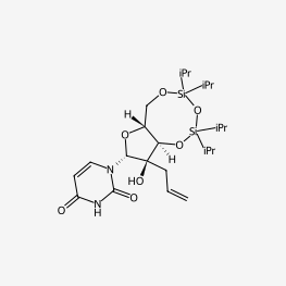 C=CC[C@@]1(O)[C@@H]2O[Si](C(C)C)(C(C)C)O[Si](C(C)C)(C(C)C)OC[C@H]2O[C@H]1n1ccc(=O)[nH]c1=O